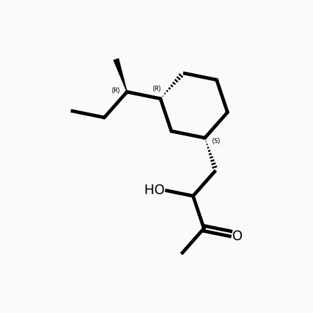 CC[C@@H](C)[C@@H]1CCC[C@H](CC(O)C(C)=O)C1